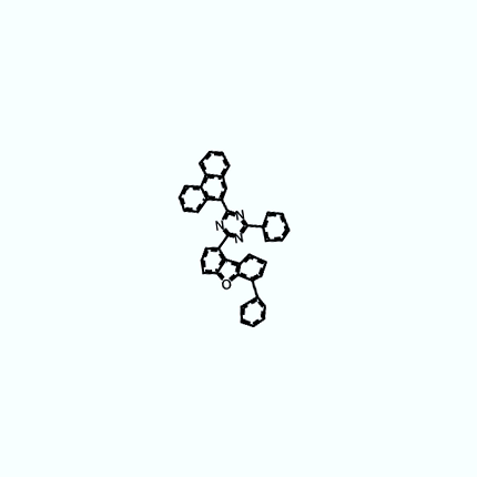 c1ccc(-c2nc(-c3cc4ccccc4c4ccccc34)nc(-c3cccc4oc5c(-c6ccccc6)cccc5c34)n2)cc1